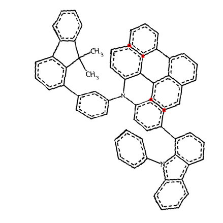 CC1(C)c2ccccc2-c2cccc(-c3cccc(N(c4ccc(-c5cccc6c7ccccc7n(-c7ccccc7)c56)cc4)c4ccccc4-c4cccc5cccc(-c6ccccc6)c45)c3)c21